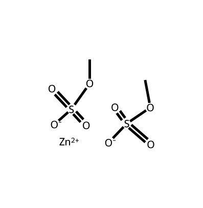 COS(=O)(=O)[O-].COS(=O)(=O)[O-].[Zn+2]